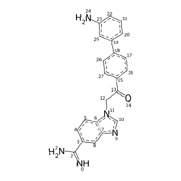 N=C(N)c1ccc2c(c1)ncn2CC(=O)c1ccc(-c2cccc(N)c2)cc1